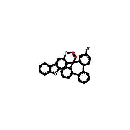 Brc1ccc2c(c1)C1(c3ccccc3Oc3cc4c(cc31)oc1ccccc14)c1ccccc1-c1ccccc1-2